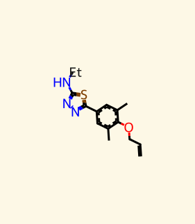 C=CCOc1c(C)cc(-c2nnc(NCC)s2)cc1C